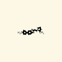 Cc1ccc(-c2ccc3sc(CCN4CCC[C@H]4C)nc3c2)cc1